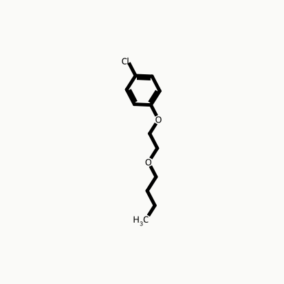 CCCCOCCOc1ccc(Cl)cc1